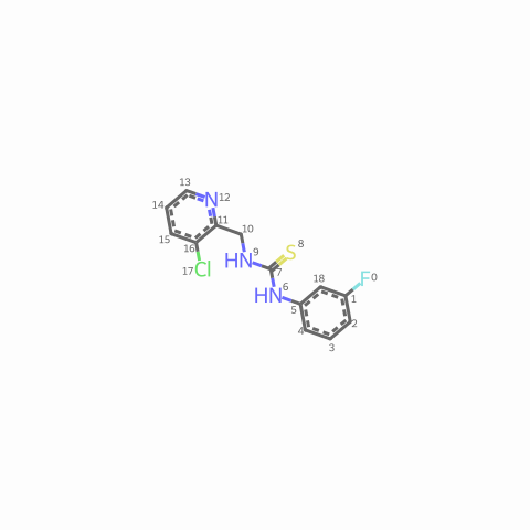 Fc1cccc(NC(=S)NCc2ncccc2Cl)c1